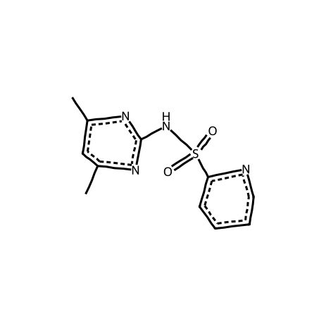 Cc1cc(C)nc(NS(=O)(=O)c2ccccn2)n1